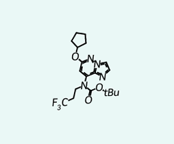 CC(C)(C)OC(=O)N(CCC(F)(F)F)c1cc(OC2CCCC2)nn2ccnc12